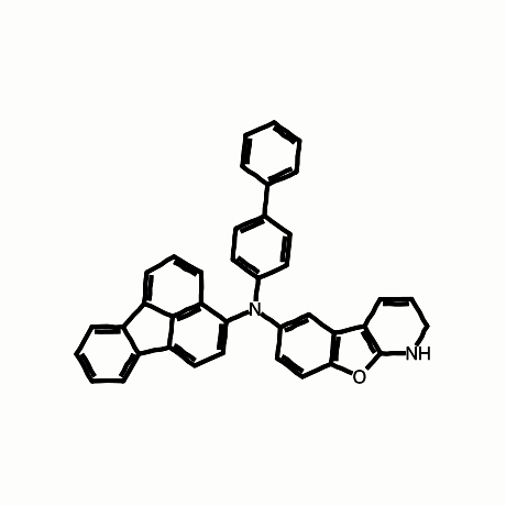 C1=Cc2c(oc3ccc(N(c4ccc(-c5ccccc5)cc4)c4ccc5c6c(cccc46)-c4ccccc4-5)cc23)NC1